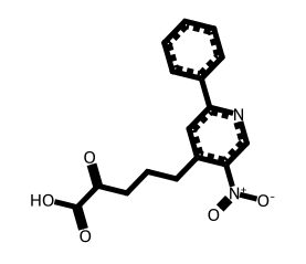 O=C(O)C(=O)CCCc1cc(-c2ccccc2)ncc1[N+](=O)[O-]